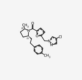 Cc1ccc(CC[C@H]2CC[C@@H](C)N2C(=O)c2ccc(Cn3cc(Cl)cn3)o2)cc1